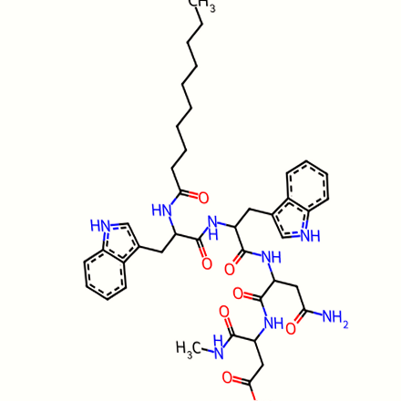 CCCCCCCCCC(=O)NC(Cc1c[nH]c2ccccc12)C(=O)NC(Cc1c[nH]c2ccccc12)C(=O)NC(CC(N)=O)C(=O)NC(CC(=O)O)C(=O)NC